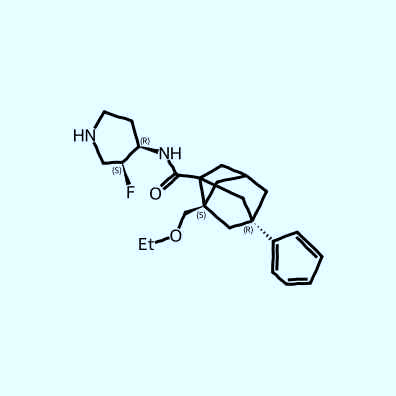 CCOC[C@]12CC3CC1(C(=O)N[C@@H]1CCNC[C@@H]1F)C[C@@](c1ccccc1)(C3)C2